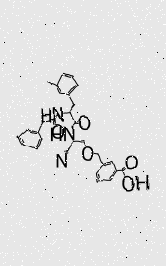 Cc1cccc(C[C@H](NC(=O)Cc2ccccc2)C(=O)N[C@H](C#N)COCc2cccc(C(=O)O)c2)c1